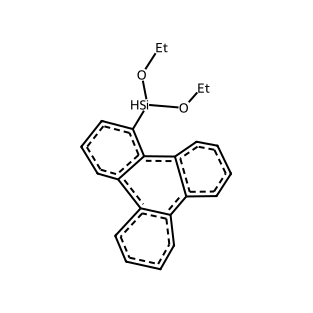 CCO[SiH](OCC)c1cccc2c3ccccc3c3ccccc3c12